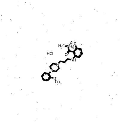 COc1ccccc1N1CCN(CCCNc2cccc(C)c2C(=O)N(C)C)CC1.Cl